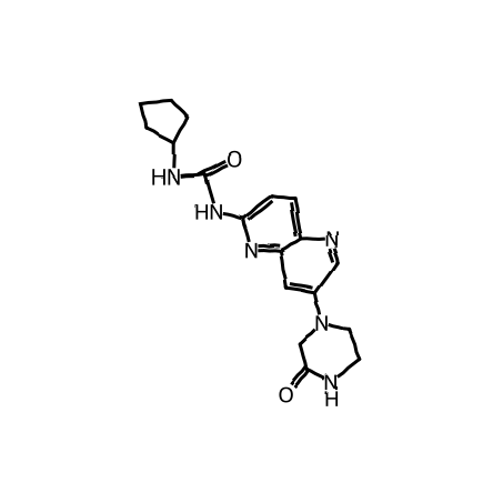 O=C1CN(c2cnc3ccc(NC(=O)NC4CCCC4)nc3c2)CCN1